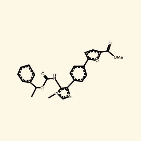 COC(=O)c1ccc(-c2ccc(-c3ncn(C)c3NC(=O)OC(C)c3ccccc3)cc2)o1